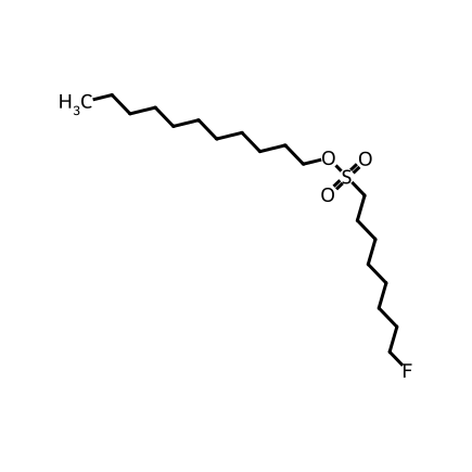 CCCCCCCCCCCOS(=O)(=O)CCCCCCCCF